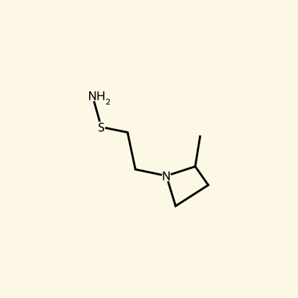 CC1CCN1CCSN